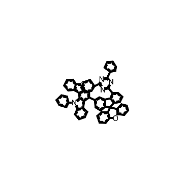 c1ccc(-c2nc(-c3ccccc3)nc(-c3cccc4c3-c3cc(-c5cc6sc7ccccc7c6c6c5c5ccccc5n6-c5ccccc5)ccc3C43c4ccccc4Oc4ccccc43)n2)cc1